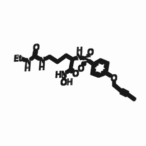 CC#CCOc1ccc(S(=O)(=O)NC(CCCNC(=O)NCC)C(=O)NO)cc1